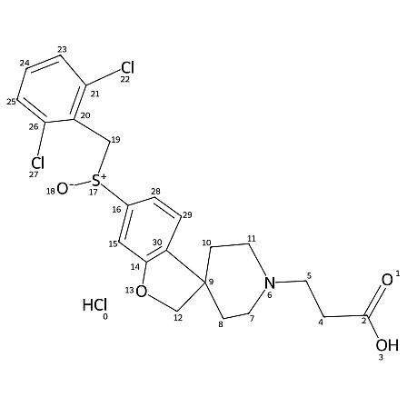 Cl.O=C(O)CCN1CCC2(CC1)COc1cc([S+]([O-])Cc3c(Cl)cccc3Cl)ccc12